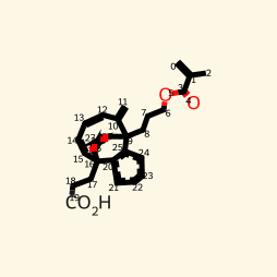 C=C(C)C(=O)OCCCC12C(=C)/C=C\C=C/C(CCC(=O)O)(c3ccccc31)c1ccccc12